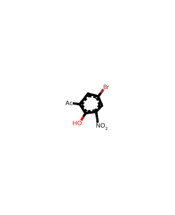 CC(=O)c1cc(Br)cc([N+](=O)[O-])c1O